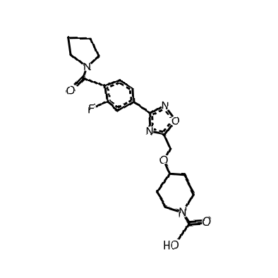 O=C(O)N1CCC(OCc2nc(-c3ccc(C(=O)N4CCCC4)c(F)c3)no2)CC1